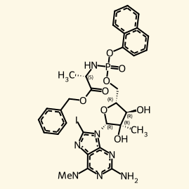 CNc1nc(N)nc2c1nc(I)n2[C@@H]1O[C@H](COP(=O)(N[C@@H](C)C(=O)OCc2ccccc2)Oc2cccc3ccccc23)[C@@H](O)[C@@]1(C)O